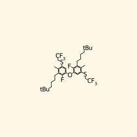 Cc1c(SCC(F)(F)F)cc(Oc2cc(SCC(F)(F)F)c(C)c(CCCCC(C)(C)C)c2F)c(F)c1CCCCC(C)(C)C